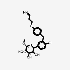 CO[C@H]1OC(c2ccc(Cl)c(Cc3ccc(OCCC=N)cc3)c2)C(O)[C@@H](O)[C@@H]1O